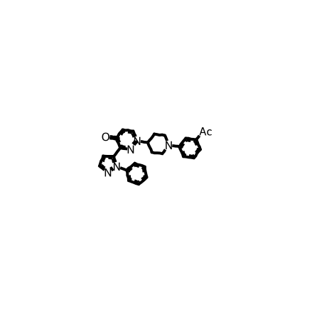 CC(=O)c1cccc(N2CCC(n3ccc(=O)c(-c4ccnn4-c4ccccc4)n3)CC2)c1